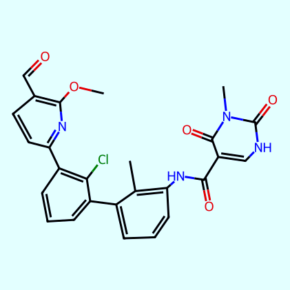 COc1nc(-c2cccc(-c3cccc(NC(=O)c4c[nH]c(=O)n(C)c4=O)c3C)c2Cl)ccc1C=O